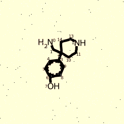 NCC1(c2ccc(O)cc2)CCNCC1